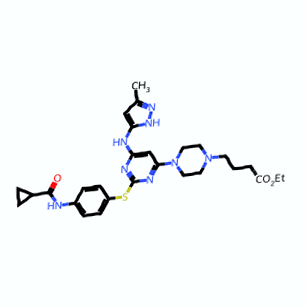 CCOC(=O)CCCN1CCN(c2cc(Nc3cc(C)n[nH]3)nc(Sc3ccc(NC(=O)C4CC4)cc3)n2)CC1